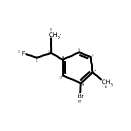 [CH2]C(CF)c1ccc(C)c(Br)c1